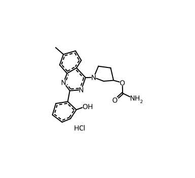 Cc1ccc2c(N3CCC(OC(N)=O)C3)nc(-c3ccccc3O)nc2c1.Cl